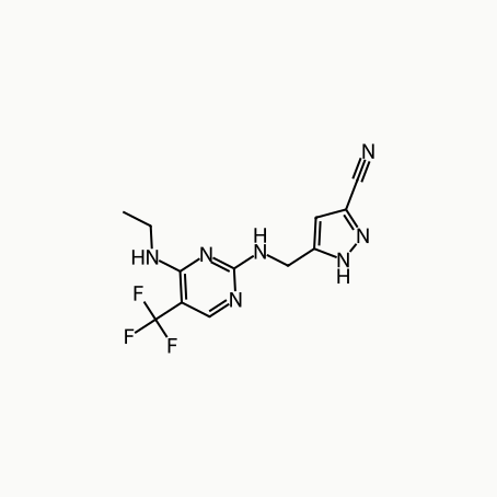 CCNc1nc(NCc2cc(C#N)n[nH]2)ncc1C(F)(F)F